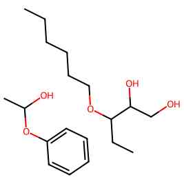 CC(O)Oc1ccccc1.CCCCCCOC(CC)C(O)CO